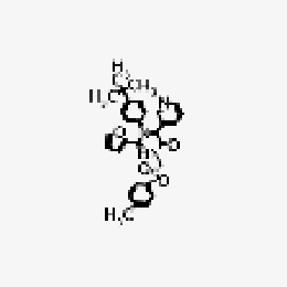 Cc1ccc(S(=O)(=O)CNC(=O)C(c2cccnc2)N(C(=O)c2ccco2)c2ccc(C(C)(C)C)cc2)cc1